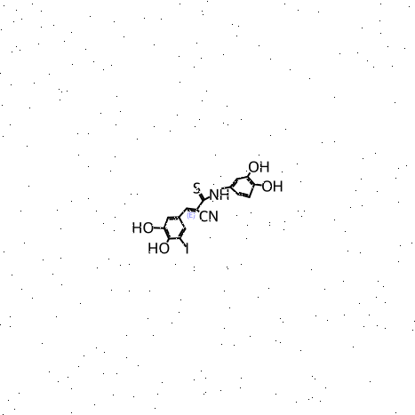 N#C/C(=C\c1cc(O)c(O)c(I)c1)C(=S)NCc1ccc(O)c(O)c1